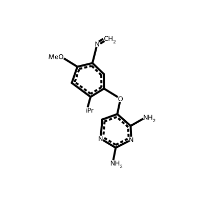 C=Nc1cc(Oc2cnc(N)nc2N)c(C(C)C)cc1OC